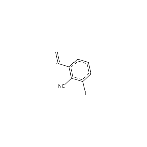 C=[C]c1cccc(I)c1C#N